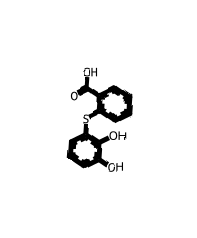 O=C(O)c1ccccc1Sc1cccc(O)c1O